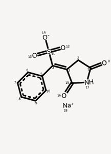 O=C1CC(=C(c2ccccc2)S(=O)(=O)[O-])C(=O)N1.[Na+]